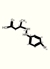 CC(CC(=O)O)NNc1ccc(Br)cc1